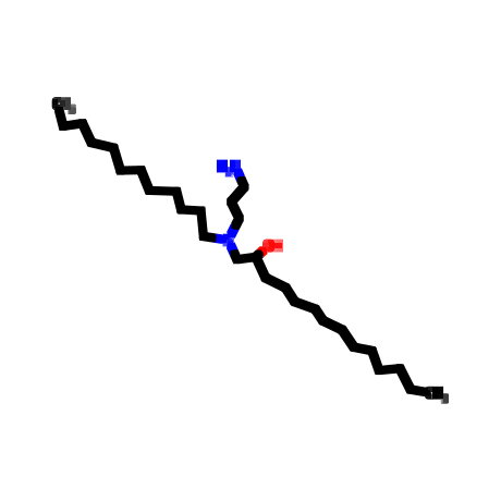 CCCCCCCCCCCCC(O)CN(CCCN)CCCCCCCCCCCC